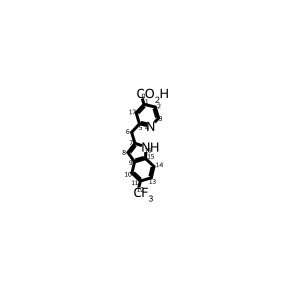 O=C(O)c1ccnc(Cc2cc3cc(C(F)(F)F)ccc3[nH]2)c1